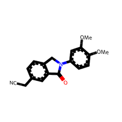 COc1ccc(N2Cc3ccc(CC#N)cc3C2=O)cc1OC